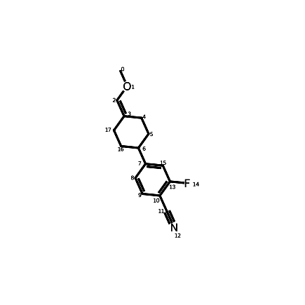 COC=C1CCC(c2ccc(C#N)c(F)c2)CC1